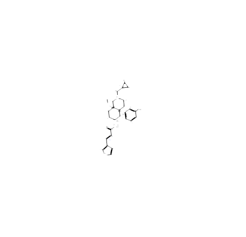 CO[C@]12CC[C@@H](NC(=O)/C=C/c3ccoc3)C[C@]1(c1cccc(O)c1)CCN(CC1CC1)C2